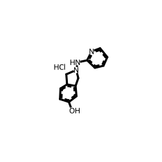 Cl.Oc1ccc2c(c1)CN(Nc1ccccn1)C2